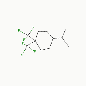 CC(C)C1CCC(C(F)(F)F)(C(F)(F)F)CC1